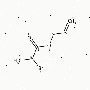 C=CCOC(=O)C(C)Br